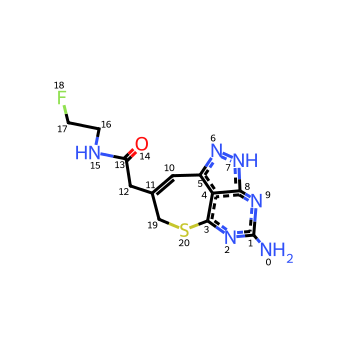 Nc1nc2c3c(n[nH]c3n1)C=C(CC(=O)NCCF)CS2